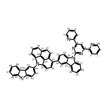 c1ccc(-c2cc(-c3ccccn3)nc(-n3c4ccccc4c4cc(-c5ccc6c7c5ccc5cccc(c57)n6-c5ccc6sc7ccccc7c6c5)ccc43)n2)nc1